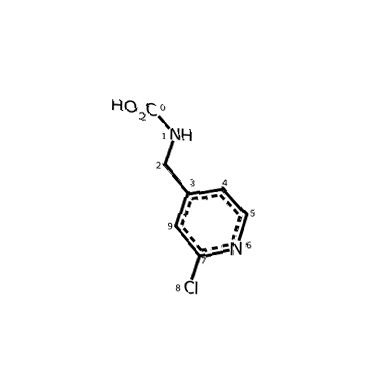 O=C(O)NCc1ccnc(Cl)c1